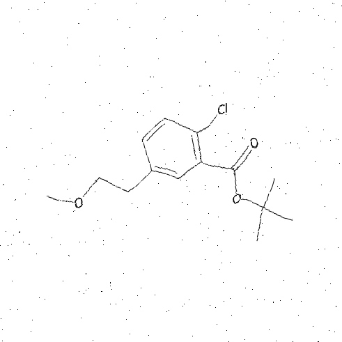 COCCc1ccc(Cl)c(C(=O)OC(C)(C)C)c1